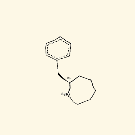 c1ccc(C[C@H]2CCCCCN2)cc1